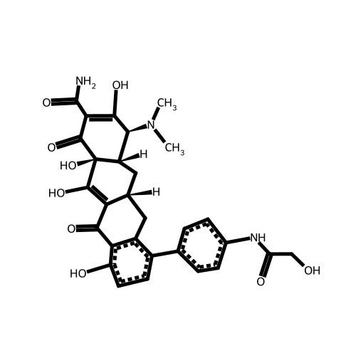 CN(C)[C@@H]1C(O)=C(C(N)=O)C(=O)[C@@]2(O)C(O)=C3C(=O)c4c(O)ccc(-c5ccc(NC(=O)CO)cc5)c4C[C@H]3C[C@@H]12